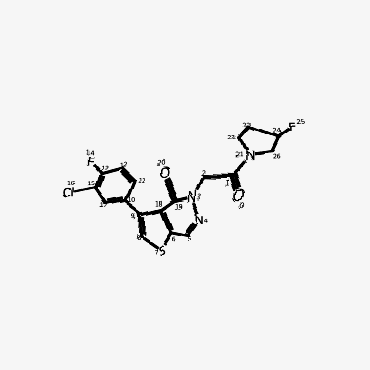 O=C(Cn1ncc2scc(-c3ccc(F)c(Cl)c3)c2c1=O)N1CCC(F)C1